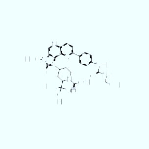 CCNC(=O)Nc1ccc(-c2ccc3ncc4c(c3n2)n(C2CCN(C(=O)O)C(C(C)(C)C)C2)c(=O)n4C)cc1